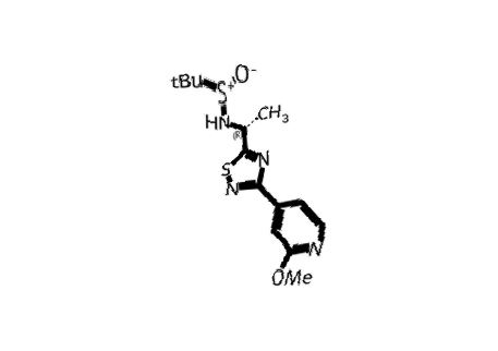 COc1cc(-c2nsc([C@@H](C)N[S+]([O-])C(C)(C)C)n2)ccn1